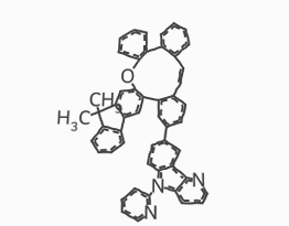 CC1(C)c2ccccc2-c2cc3c(cc21)Oc1ccccc1-c1ccccc1/C=C\c1ccc(-c2ccc4c(c2)c2ncccc2n4-c2ccccn2)cc1-3